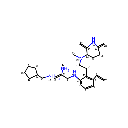 C=Cc1cccc(NC/C(N)=C/NCC2CCCC2)c1CCN(C)C1CCC(=C)NC1=C